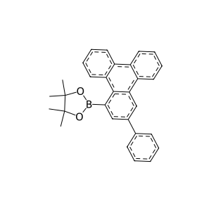 CC1(C)OB(c2cc(-c3ccccc3)cc3c4ccccc4c4ccccc4c23)OC1(C)C